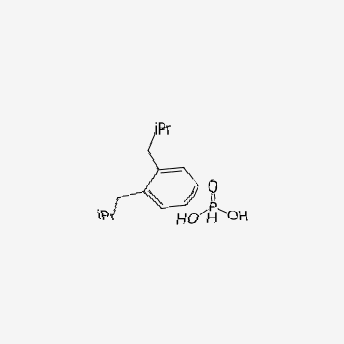 CC(C)Cc1ccccc1CC(C)C.O=[PH](O)O